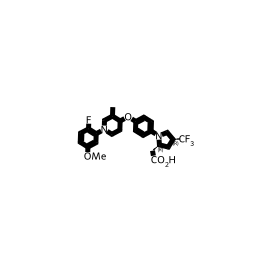 COc1ccc(F)c(N2CCC(Oc3ccc(N4C[C@H](C(F)(F)F)C[C@@H]4CC(=O)O)cc3)C(C)C2)c1